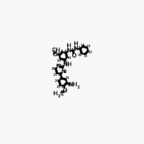 COc1cc(NC(=O)Nc2ccccc2)cc(Nc2nccc(-c3ccc(OC)c(N)c3)n2)c1